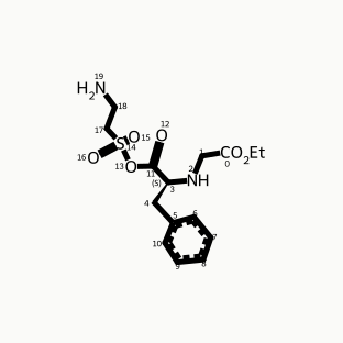 CCOC(=O)CN[C@@H](Cc1ccccc1)C(=O)OS(=O)(=O)CCN